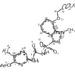 COc1sc(NC(=O)NS(=O)(=O)c2cn(C)c3c(OCC(=O)O)cccc23)nc1C